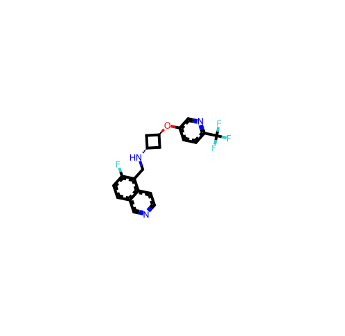 Fc1ccc2cnccc2c1CN[C@H]1C[C@H](Oc2ccc(C(F)(F)F)nc2)C1